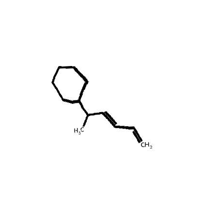 C=CC=CC(C)C1CCCCC1